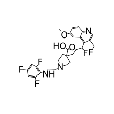 COc1ccc2ncc(CF)c([C@@H](F)CCC3(C(=O)O)CCN(CCNc4c(F)cc(F)cc4F)CC3)c2c1